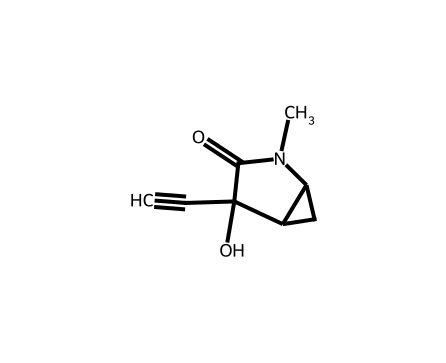 C#CC1(O)C(=O)N(C)C2CC21